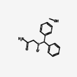 CO.NC(=O)C[S+]([O-])C(c1ccccc1)c1ccccc1